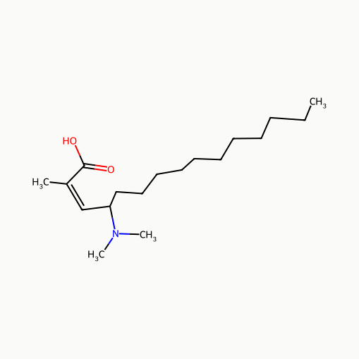 CCCCCCCCCCCC(C=C(C)C(=O)O)N(C)C